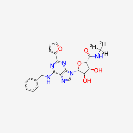 [2H]C([2H])([2H])NC(=O)[C@H]1O[C@@H](n2cnc3c(NCc4ccccc4)nc(-c4ccco4)nc32)[C@H](O)[C@@H]1O